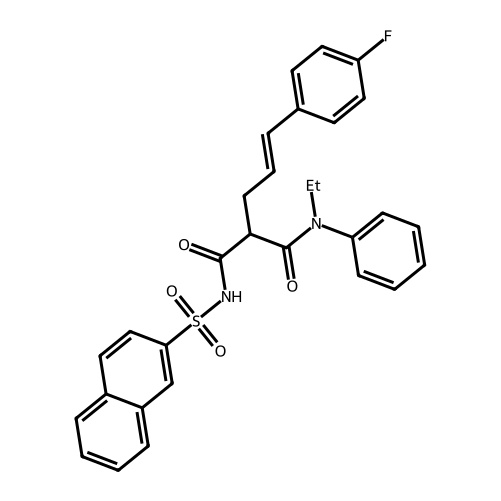 CCN(C(=O)C(C/C=C/c1ccc(F)cc1)C(=O)NS(=O)(=O)c1ccc2ccccc2c1)c1ccccc1